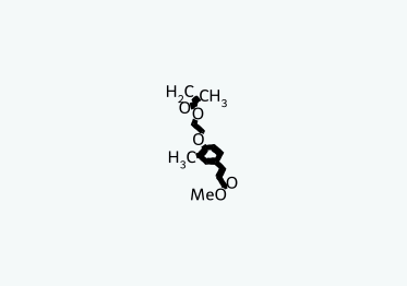 C=C(C)C(=O)OCCOc1ccc(C=CC(=O)OC)cc1C